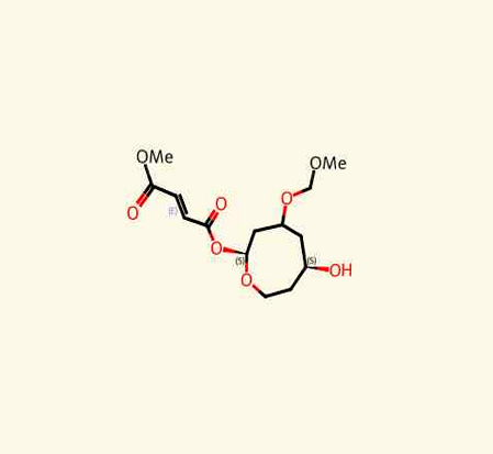 COCOC1C[C@@H](O)CCO[C@@H](OC(=O)/C=C/C(=O)OC)C1